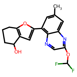 Cc1cc(-c2cc3c(o2)CCCC3O)c2ncc(OC(F)F)nc2c1